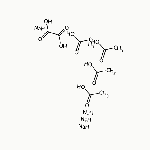 CC(=O)O.CC(=O)O.CC(=O)O.CC(=O)O.O=C(O)C(=O)O.[NaH].[NaH].[NaH].[NaH]